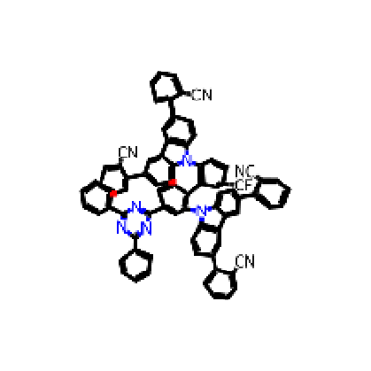 N#Cc1ccccc1-c1ccc2c(c1)c1cc(-c3ccccc3C#N)ccc1n2-c1ccc(C(F)(F)F)cc1-c1ccc(-c2nc(-c3ccccc3)nc(-c3ccccc3)n2)cc1-n1c2ccc(-c3ccccc3C#N)cc2c2cc(-c3ccccc3C#N)ccc21